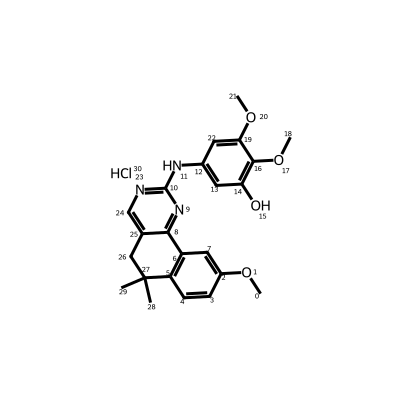 COc1ccc2c(c1)-c1nc(Nc3cc(O)c(OC)c(OC)c3)ncc1CC2(C)C.Cl